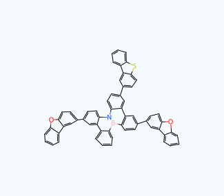 c1ccc2c(c1)B1c3ccc(-c4ccc5oc6ccccc6c5c4)cc3-c3cc(-c4ccc5sc6ccccc6c5c4)ccc3N1c1ccc(-c3ccc4oc5ccccc5c4c3)cc1-2